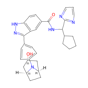 O=C(NC(c1ncccn1)C1CCCC1)c1ccc2[nH]nc(-c3ccc(N4[C@@H]5CC[C@H]4C[C@H](O)C5)cc3)c2c1